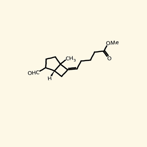 COC(=O)CCC/C=C1/C[C@@H]2C(C=O)CCC12C